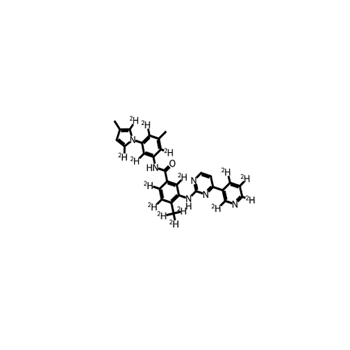 [2H]c1nc([2H])c(-c2ccnc(Nc3c([2H])c(C(=O)Nc4c([2H])c(C)c([2H])c(-n5c([2H])cc(C)c5[2H])c4[2H])c([2H])c([2H])c3C([2H])([2H])[2H])n2)c([2H])c1[2H]